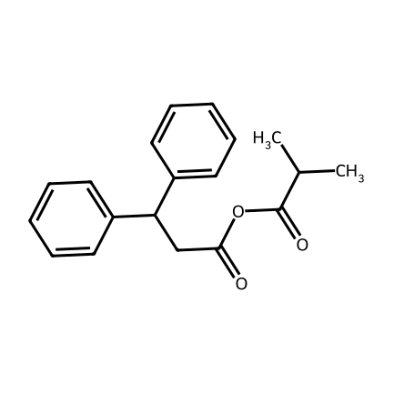 CC(C)C(=O)OC(=O)CC(c1ccccc1)c1ccccc1